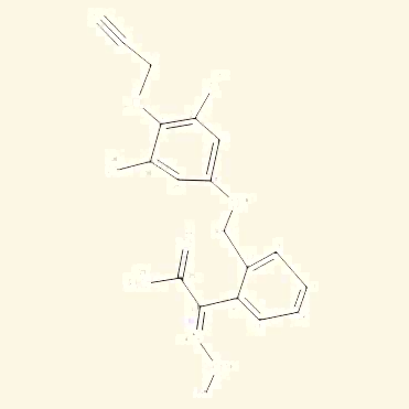 C#CCOc1c(Cl)cc(OCc2ccccc2/C(=N\OC)C(=O)O)cc1Cl